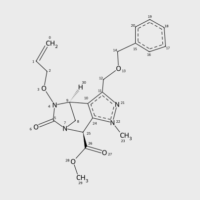 C=CCON1C(=O)N2C[C@@H]1c1c(COCc3ccccc3)nn(C)c1[C@H]2C(=O)OC